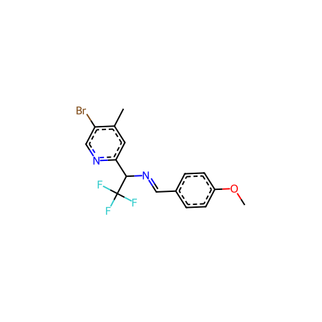 COc1ccc(/C=N/C(c2cc(C)c(Br)cn2)C(F)(F)F)cc1